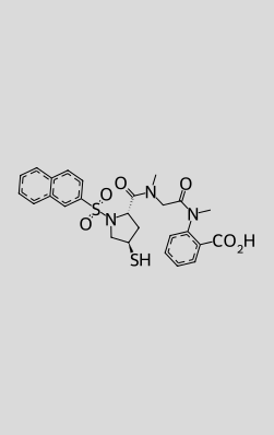 CN(CC(=O)N(C)c1ccccc1C(=O)O)C(=O)[C@@H]1C[C@@H](S)CN1S(=O)(=O)c1ccc2ccccc2c1